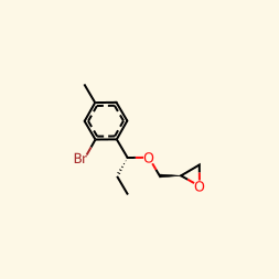 CC[C@@H](OC[C@H]1CO1)c1ccc(C)cc1Br